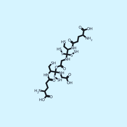 NC(CCC(=O)NC(CS)C(NCC(=O)O)(OC(=O)CNC(SS)(SS)C(CS)NC(=O)CCC(N)C(=O)O)SS)C(=O)O